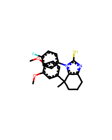 COc1ccc(C2(C)CCCc3nc(S)n(-c4ccc(F)cc4)c32)cc1OC